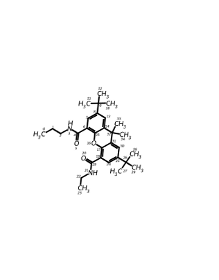 CCCNC(=O)c1cc(C(C)(C)C)cc2c1Oc1c(C(=O)NCC)cc(C(C)(C)C)cc1C2(C)C